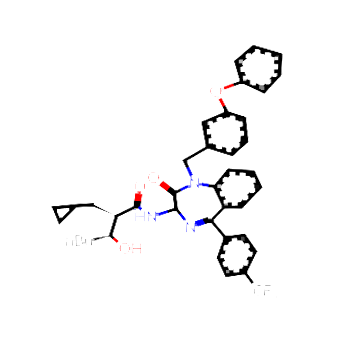 CCCC[C@H](O)[C@@H](CC1CC1)C(=O)NC1N=C(c2ccc(C(F)(F)F)cc2)c2ccccc2N(Cc2cccc(Oc3ccccc3)c2)C1=O